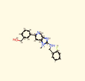 Cn1c(NCc2ccccc2F)nc2cnc(-c3cccc(CO)c3)cc21